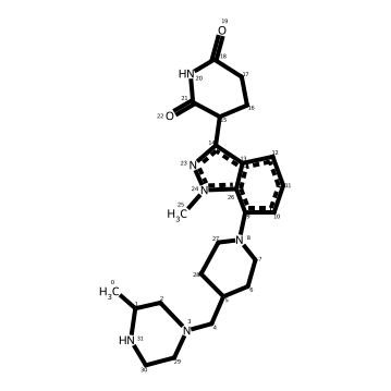 CC1CN(CC2CCN(c3cccc4c(C5CCC(=O)NC5=O)nn(C)c34)CC2)CCN1